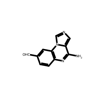 Nc1nc2ccc(C=O)cc2n2cncc12